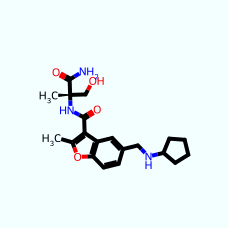 Cc1oc2ccc(CNC3CCCC3)cc2c1C(=O)N[C@@](C)(CO)C(N)=O